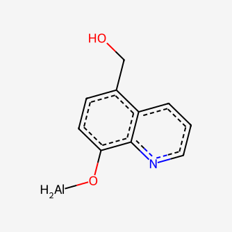 OCc1ccc([O][AlH2])c2ncccc12